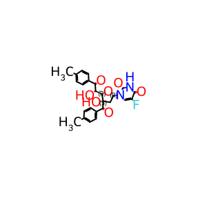 Cc1ccc(C(=O)C(O)[C@H]2O[C@@H](n3cc(F)c(=O)[nH]c3=O)C[C@@]2(O)C(=O)c2ccc(C)cc2)cc1